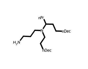 CCCCCCCCCCCCC(CCC)N(CCCN)CCCCCCCCCCCC